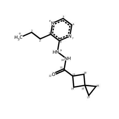 CCCc1nccnc1NNC(=O)C1CC2(CC2)C1